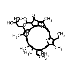 C=Cc1c(N)cc2nc(cc3[nH]c4c(c3C)C(=O)C(C(=O)OC)c4c3nc(cc(C)c1C)C(C)=C3CCC(=O)O)C(CC)=C2C